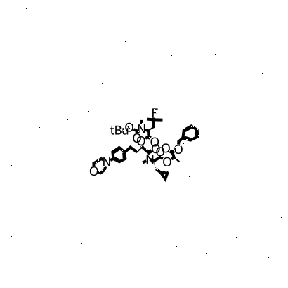 C[C@@H](OC(=O)[C@H](CC1CC1)N(C)C(=O)[C@@H](CCc1ccc(N2CCOCC2)cc1)OC(=O)[C@H](CC(C)(C)F)N(C)C(=O)OC(C)(C)C)C(=O)OCc1ccccc1